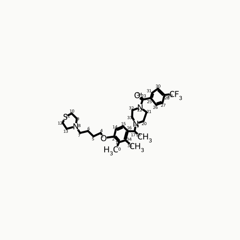 Cc1c(OCCCCN2CCSCC2)ccc(C(C)N2CCN(C(=O)c3ccc(C(F)(F)F)cc3)CC2)c1C